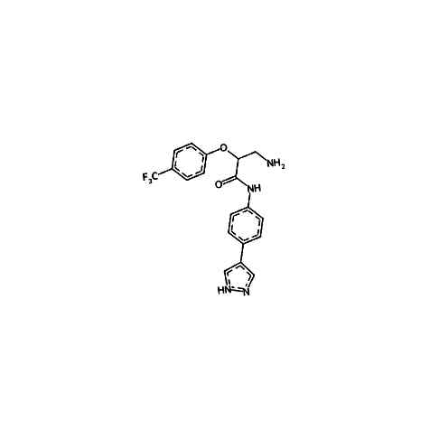 NCC(Oc1ccc(C(F)(F)F)cc1)C(=O)Nc1ccc(-c2cn[nH]c2)cc1